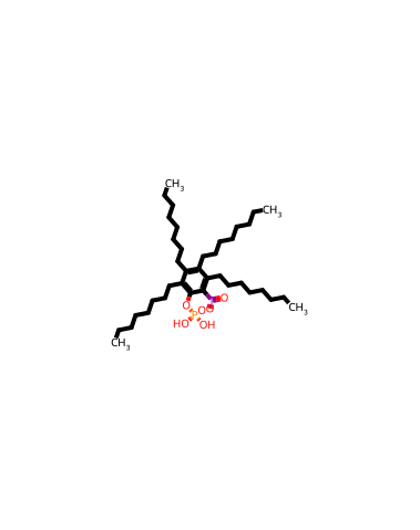 CCCCCCCCc1c(CCCCCCCC)c(CCCCCCCC)c(I(=O)=O)c(OP(=O)(O)O)c1CCCCCCCC